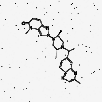 Cc1cnc2ccc(C(C)N3C[C@H](C)N(n4cc5c(ccc(=O)n5C)n4)C[C@H]3C)cc2n1